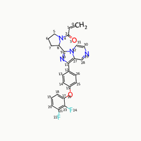 C=CC(=O)N1CCCC1c1nc(-c2ccc(Oc3cccc(F)c3F)cc2)c2cnccn12